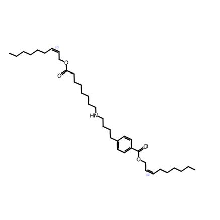 CCCCCC/C=C\COC(=O)CCCCCCCNCCCCc1ccc(C(=O)OC/C=C\CCCCCC)cc1